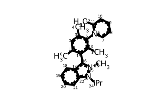 Cc1cc(C)c(-[n+]2ccccc2C)c(C)c1-c1c2ccccc2n(C(C)C)[n+]1C